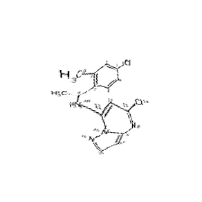 Cc1cc(Cl)ccc1[C@@H](C)Nc1cc(Cl)nc2ccnn12